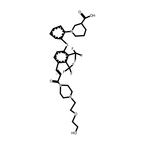 O=C(O)C1CCCN(c2ccccc2Sc2ccc(/C=C/C(=O)N3CCN(CCOCCO)CC3)c(C(F)(F)F)c2C(F)(F)F)C1